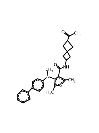 CC(=O)C1CC2(CC(NC(=O)c3c(C)sc(C)c3N(C)c3ccc(-c4ccccc4)cc3)C2)C1